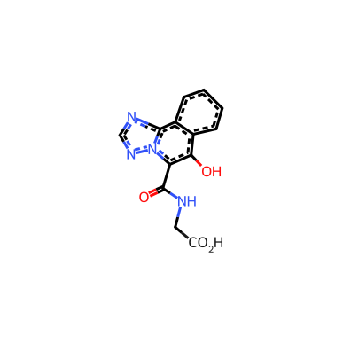 O=C(O)CNC(=O)c1c(O)c2ccccc2c2ncnn12